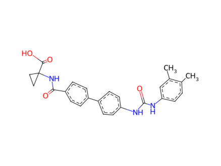 Cc1ccc(NC(=O)Nc2ccc(-c3ccc(C(=O)NC4(C(=O)O)CC4)cc3)cc2)cc1C